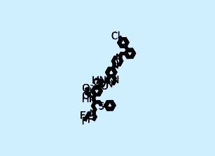 CCN(CCC(CSc1ccccc1)Nc1ccc(S(=O)(=O)Nc2ncnc3cc(N4CCN(Cc5ccccc5-c5ccc(Cl)cc5)CC4)ccc23)cc1[N+](=O)[O-])CC(F)(F)F